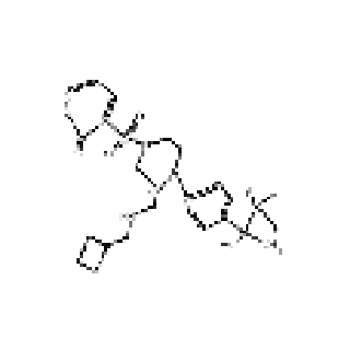 CC(O)(c1ccc(N2CCN(S(=O)(=O)C3=CC=CCC3=S)C[C@@H]2CNCC2CCC2)cc1)C(F)(F)F